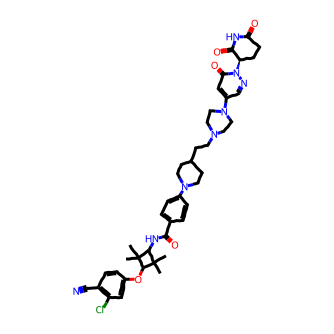 CC1(C)C(NC(=O)c2ccc(N3CCC(CCN4CCN(c5cnn([C@@H]6CCC(=O)NC6=O)c(=O)c5)CC4)CC3)cc2)C(C)(C)C1Oc1ccc(C#N)c(Cl)c1